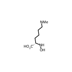 CNCCCC[C@H](NO)C(=O)O